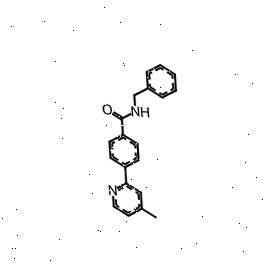 Cc1ccnc(-c2ccc(C(=O)NCc3ccccc3)cc2)c1